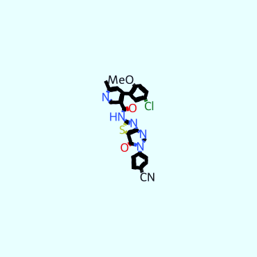 COc1ccc(Cl)cc1-c1cc(C)ncc1C(=O)Nc1nc2ncn(-c3ccc(C#N)cc3)c(=O)c2s1